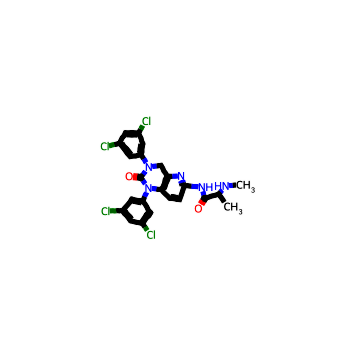 CNC(C)C(=O)Nc1ccc2c(n1)CN(c1cc(Cl)cc(Cl)c1)C(=O)N2c1cc(Cl)cc(Cl)c1